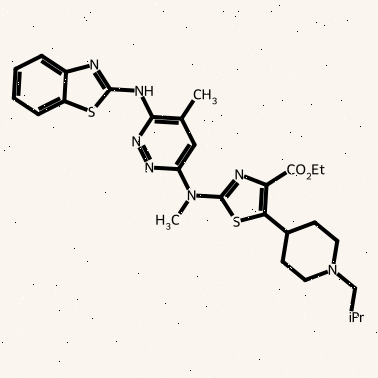 CCOC(=O)c1nc(N(C)c2cc(C)c(Nc3nc4ccccc4s3)nn2)sc1C1CCN(CC(C)C)CC1